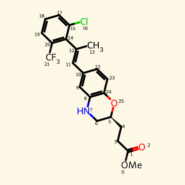 COC(=O)CC[C@H]1CNc2cc(/C=C(\C)c3c(Cl)cccc3C(F)(F)F)ccc2O1